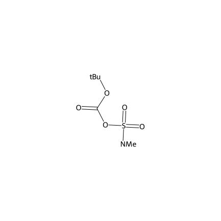 CNS(=O)(=O)OC(=O)OC(C)(C)C